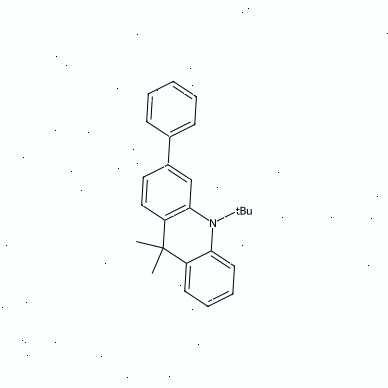 CC1(C)c2ccccc2N(C(C)(C)C)c2cc(-c3ccccc3)ccc21